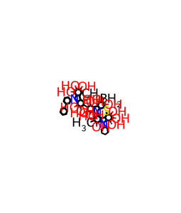 Bc1c(O)c2sc3c(O)c(O)c(O)c4c3c3c(c(O)c(C)c(O)c3n3c5c(O)c(O)c(-c6c(O)c(O)c7c(c6O)c6c(C)c(O)c(O)c(O)c6n7-c6cccc(-c7ccccc7)c6)c(O)c5c(c1O)c23)n4C1=CCCC=C1